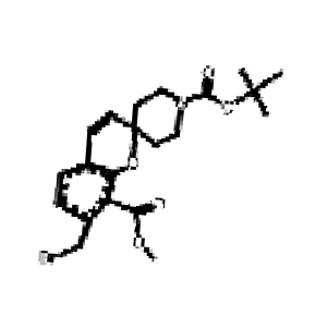 COC(=O)c1c(CBr)ccc2c1OC1(C=C2)CCN(C(=O)OC(C)(C)C)CC1